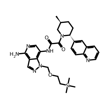 C[C@H]1CC[C@H](c2ccc3ncccc3c2)N(C(=O)C(=O)Nc2cnc(N)c3cnn(COCC[Si](C)(C)C)c23)C1